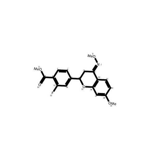 CON=C1CC(c2ccc(C(=O)OC)c(F)c2)Oc2cc(OC)ccc21